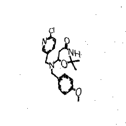 COc1ccc(CN(Cc2ccc(Cl)nc2)C(CC([NH])=O)OC(C)(C)C)cc1